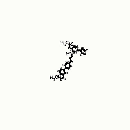 Cc1cc2c(NCCCc3ccc(-c4ccc5c(ccn5C)c4)cc3)nc(-c3ccoc3)nc2s1